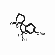 COc1ccc(C2(CC(=O)NO)CCCCS2(=O)=O)cc1